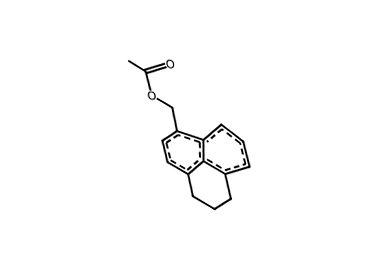 CC(=O)OCc1ccc2c3c(cccc13)CCC2